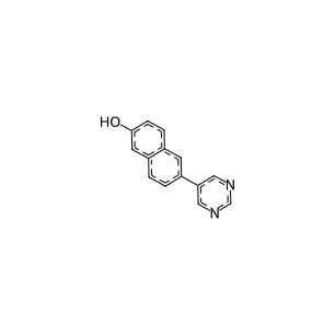 Oc1ccc2cc(-c3cncnc3)ccc2c1